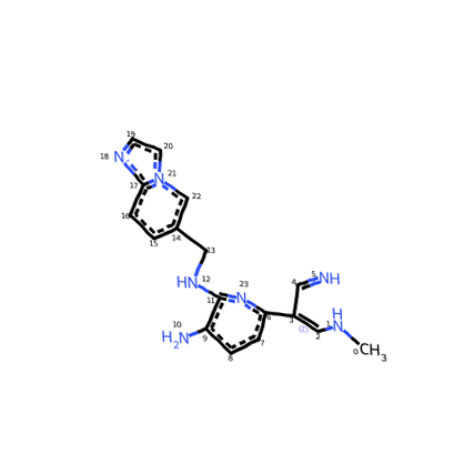 CN/C=C(\C=N)c1ccc(N)c(NCc2ccc3nccn3c2)n1